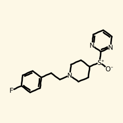 [O-][S+](c1ncccn1)C1CCN(CCc2ccc(F)cc2)CC1